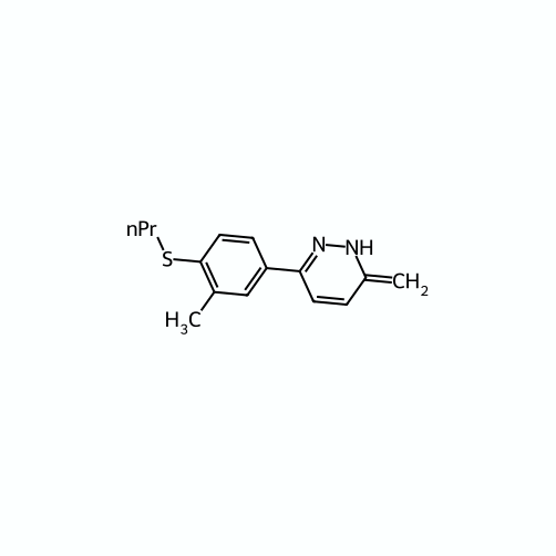 C=C1C=CC(c2ccc(SCCC)c(C)c2)=NN1